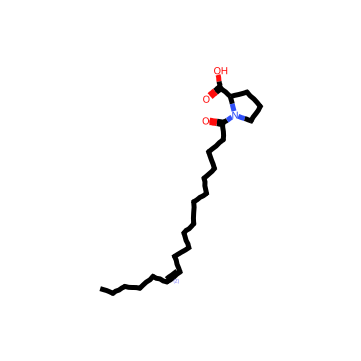 CCCCC/C=C\CCCCCCCCCCC(=O)N1CCCC1C(=O)O